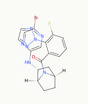 O=C(c1cccc(F)c1-n1nccn1)N1[C@@H]2CC[C@H]1[C@H](Nc1cnc(Br)cn1)C2